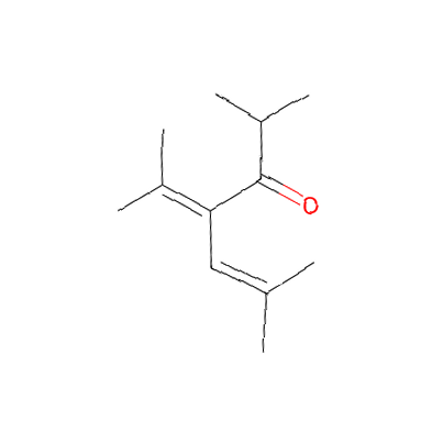 CC(C)=CC(C(=O)C(C)C)=C(C)C